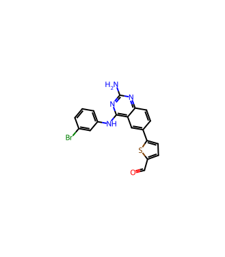 Nc1nc(Nc2cccc(Br)c2)c2cc(-c3ccc(C=O)s3)ccc2n1